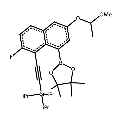 COC(C)Oc1cc(B2OC(C)(C)C(C)(C)O2)c2c(C#C[Si](C(C)C)(C(C)C)C(C)C)c(F)ccc2c1